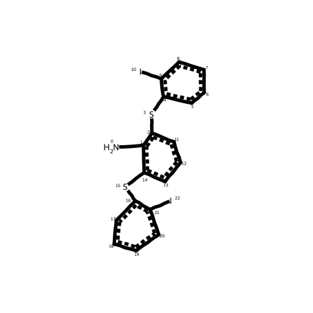 Nc1c(Sc2ccccc2I)cccc1Sc1ccccc1I